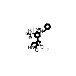 Cn1cc(-c2cc(N[SH](=O)=O)c3ncn(Cc4ccccc4)c3c2)c2cc[nH]c(=O)c21